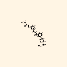 CC(=O)N1CCN(c2cccc(C(=O)C=Cc3cccc(C=CC(=O)NO)c3)c2)CC1